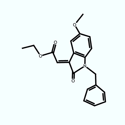 CCOC(=O)/C=C1/C(=O)N(Cc2ccccc2)c2ccc(OC)cc21